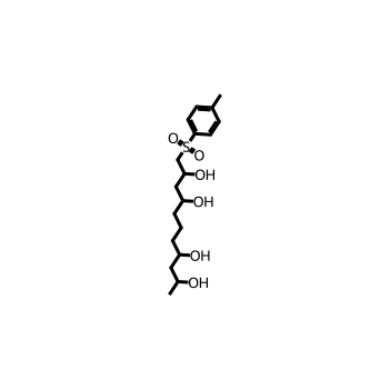 Cc1ccc(S(=O)(=O)CC(O)CC(O)CCCC(O)CC(C)O)cc1